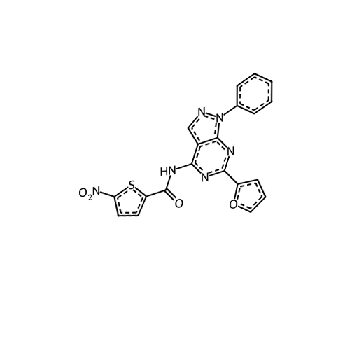 O=C(Nc1nc(-c2ccco2)nc2c1cnn2-c1ccccc1)c1ccc([N+](=O)[O-])s1